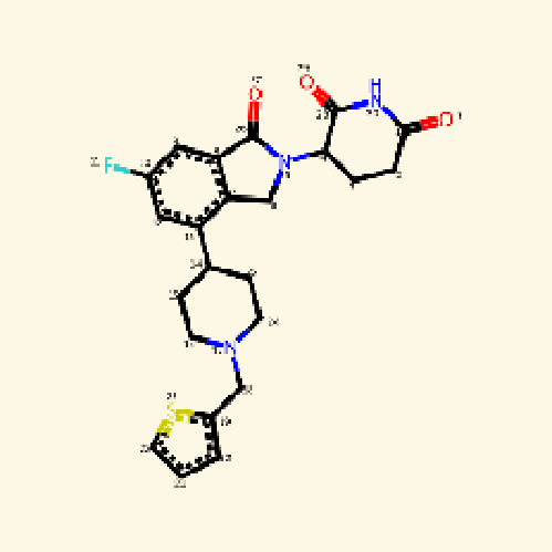 O=C1CCC(N2Cc3c(cc(F)cc3C3CCN(Cc4cccs4)CC3)C2=O)C(=O)N1